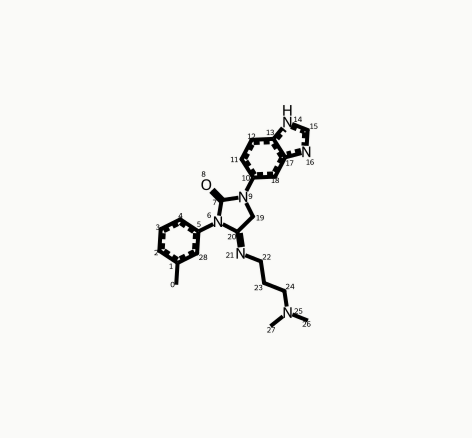 Cc1cccc(N2C(=O)N(c3ccc4[nH]cnc4c3)CC2=NCCCN(C)C)c1